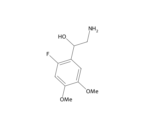 COc1cc(F)c(C(O)CN)cc1OC